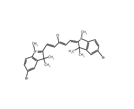 CN1/C(=C/C=C(Cl)/C=C/C2=[N+](C)c3ccc(Br)cc3C2(C)C)C(C)(C)c2cc(Br)ccc21